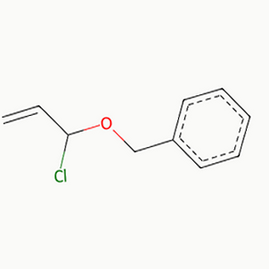 C=CC(Cl)OCc1ccccc1